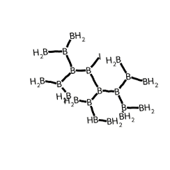 BBB(B)B(B(I)B(B(B)B)B(B)B)B(B(B)B)B(B)B